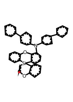 c1ccc(-c2ccc(N(c3ccc(-c4ccccc4)cc3)c3cccc4c3Oc3ccccc3[Si]43c4ccccc4Oc4ccccc43)cc2)cc1